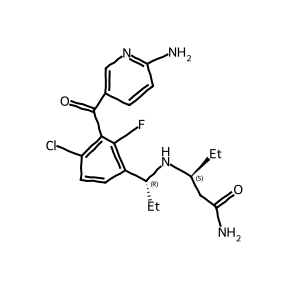 CC[C@@H](CC(N)=O)N[C@H](CC)c1ccc(Cl)c(C(=O)c2ccc(N)nc2)c1F